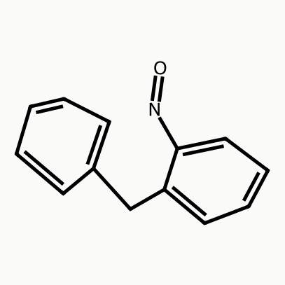 O=Nc1ccccc1Cc1ccccc1